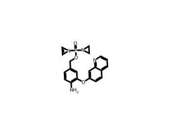 Nc1ccc(COP(=O)(N2C=C2)N2CC2)cc1Oc1ccc2cccnc2c1